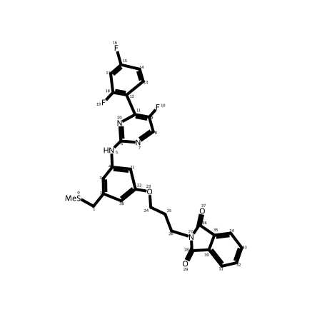 CSCc1cc(Nc2ncc(F)c(-c3ccc(F)cc3F)n2)cc(OCCCN2C(=O)c3ccccc3C2=O)c1